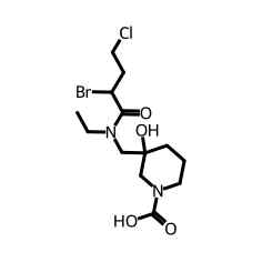 CCN(CC1(O)CCCN(C(=O)O)C1)C(=O)C(Br)CCCl